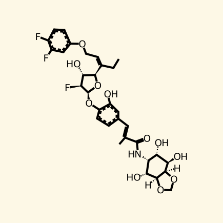 CC/C(=C/COc1ccc(F)c(F)c1)[C@H]1O[C@@H](Oc2ccc(/C=C(\C)C(=O)N[C@@H]3[C@H](O)[C@@H](O)[C@H]4OCO[C@H]4[C@@H]3O)cc2O)[C@@H](F)[C@@H]1O